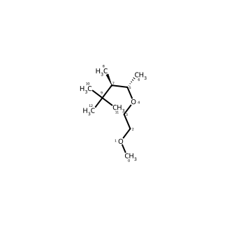 COCCO[C@@H](C)[C@H](C)C(C)(C)C